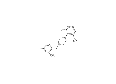 Cc1cc(F)ccc1CN1CCN(c2c(C3CC3)cn[nH]c2=O)CC1